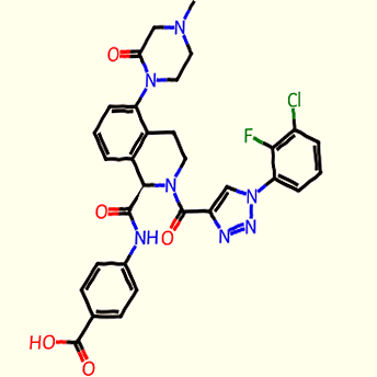 CN1CCN(c2cccc3c2CCN(C(=O)c2cn(-c4cccc(Cl)c4F)nn2)[C@H]3C(=O)Nc2ccc(C(=O)O)cc2)C(=O)C1